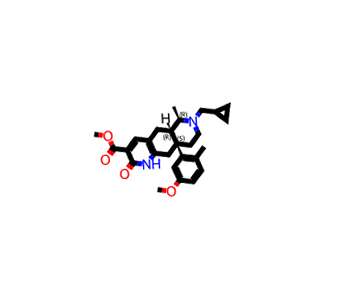 COC(=O)c1cc2c([nH]c1=O)C[C@@]1(c3cc(OC)ccc3C)CCN(CC3CC3)[C@H](C)[C@@H]1C2